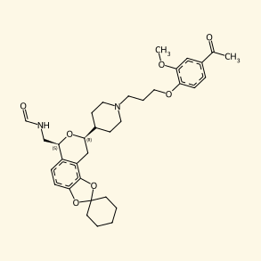 COc1cc(C(C)=O)ccc1OCCCN1CCC([C@H]2Cc3c(ccc4c3OC3(CCCCC3)O4)[C@@H](CNC=O)O2)CC1